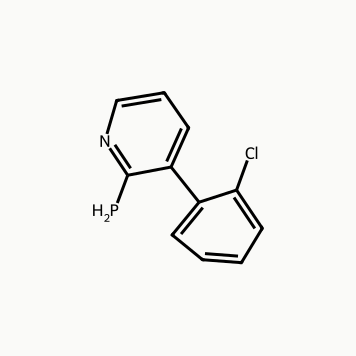 Pc1ncccc1-c1ccccc1Cl